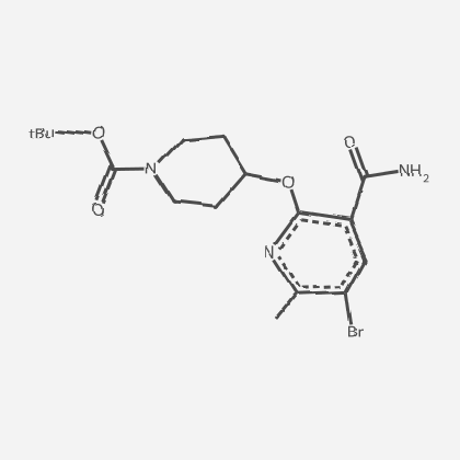 Cc1nc(OC2CCN(C(=O)OC(C)(C)C)CC2)c(C(N)=O)cc1Br